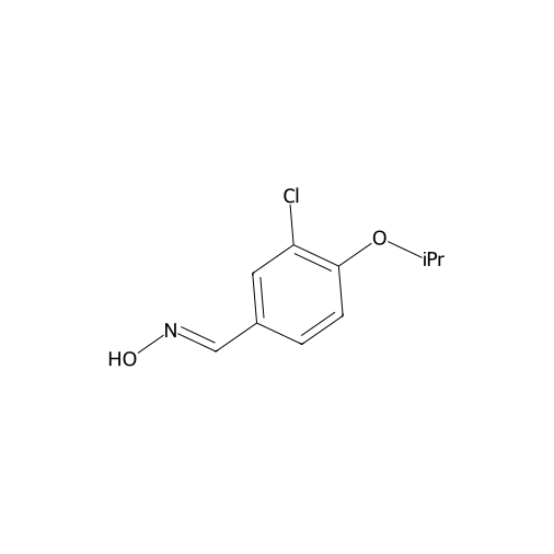 CC(C)Oc1ccc(C=NO)cc1Cl